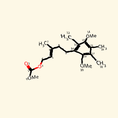 COC(=O)OCC=C(C)CCc1c(C)c(OC)c(C)c(C)c1OC